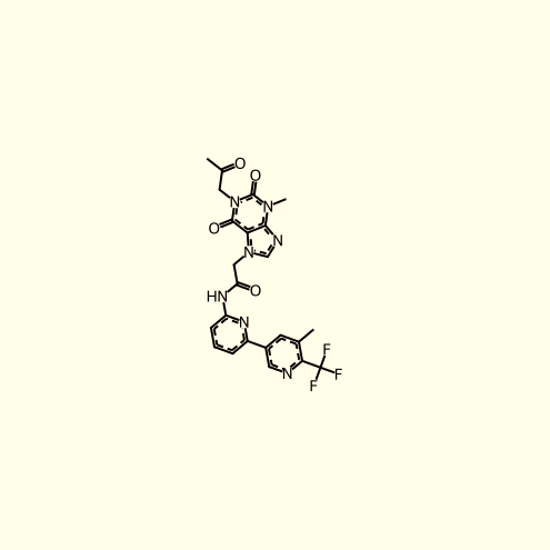 CC(=O)Cn1c(=O)c2c(ncn2CC(=O)Nc2cccc(-c3cnc(C(F)(F)F)c(C)c3)n2)n(C)c1=O